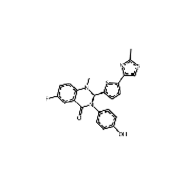 Cc1nc(-c2ccc(C3N(C)c4ccc(F)cc4C(=O)N3c3ccc(O)cc3)s2)cs1